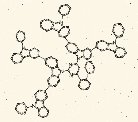 c1ccc(-c2ccccc2-c2cc(-n3c4ccc(-c5ccc6c(c5)c5ccccc5n6-c5ccccc5)cc4c4cc(-c5ccc6c(c5)c5ccccc5n6-c5ccccc5)ccc43)nc(-n3c4ccc(-c5ccc6c(c5)c5ccccc5n6-c5ccccc5)cc4c4cc(-c5ccc6c(c5)c5ccccc5n6-c5ccccc5)ccc43)n2)cc1